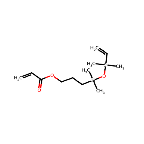 C=CC(=O)OCCC[Si](C)(C)O[Si](C)(C)C=C